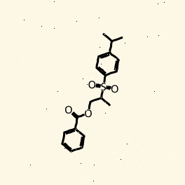 CC(C)c1ccc(S(=O)(=O)C(C)COC(=O)c2ccccc2)cc1